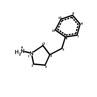 NN1CCC(Cc2ccccc2)C1